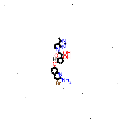 Cc1ncnc2c1ccn2[C@@H]1O[C@@H]2[C@@H](Oc3ccc4cc(Br)c(N)nc4c3)CC[C@]2(O)[C@H]1O